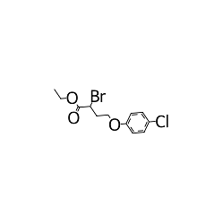 CCOC(=O)C(Br)CCOc1ccc(Cl)cc1